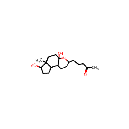 CC(=O)CCCC1CCC2C3CCC(O)C3(C)CCC2(O)O1